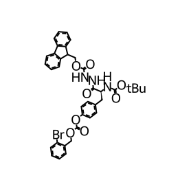 CC(C)(C)OC(=O)N[C@@H](Cc1ccc(OC(=O)OCc2ccccc2Br)cc1)C(=O)NNC(=O)OCC1c2ccccc2-c2ccccc21